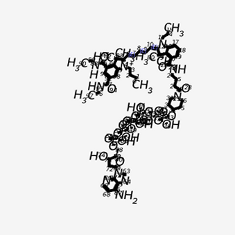 CCCC[N+]1=C(/C=C/C=C/C=C2/N(CCC)c3cccc(C(=O)NCCCC(=O)N4CCC(OP(=O)(O)OP(=O)(O)OP(=O)(O)OP(=O)(O)OP(=O)(O)OP(=O)(O)OC[C@H]5O[C@@H](n6cnc7c(N)ccnc76)CC5O)CC4)c3C2(C)C)C(C)(C)c2c(C(=O)NCC)cc(C(=O)NCC)cc21